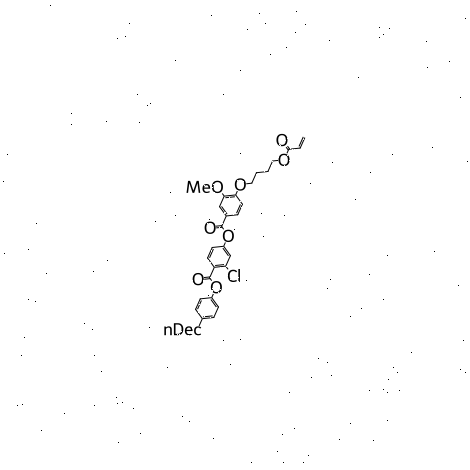 C=CC(=O)OCCCCOc1ccc(C(=O)Oc2ccc(C(=O)Oc3ccc(CCCCCCCCCC)cc3)c(Cl)c2)cc1OC